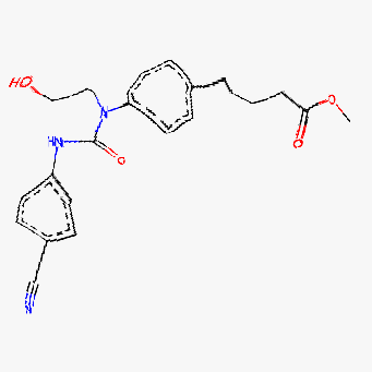 COC(=O)CCCc1ccc(N(CCO)C(=O)Nc2ccc(C#N)cc2)cc1